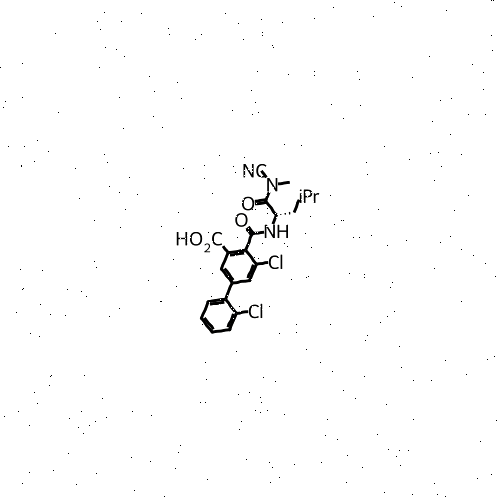 CC(C)C[C@H](NC(=O)c1c(Cl)cc(-c2ccccc2Cl)cc1C(=O)O)C(=O)N(C)C#N